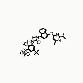 COc1c(NC(=O)Nc2ccc(Oc3cc(C)nc(C(C)C)n3)c3ccccc23)cc(C(C)(C)C)cc1NS(C)(=O)=O